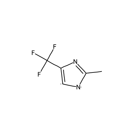 CC1=NC(C(F)(F)F)=[C][N]1